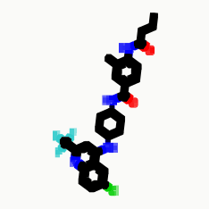 CCCC(=O)Nc1ccc(C(=O)N[C@H]2CC[C@@H](Nc3cc(C(F)(F)F)nc4ccc(Cl)cc34)CC2)cc1C